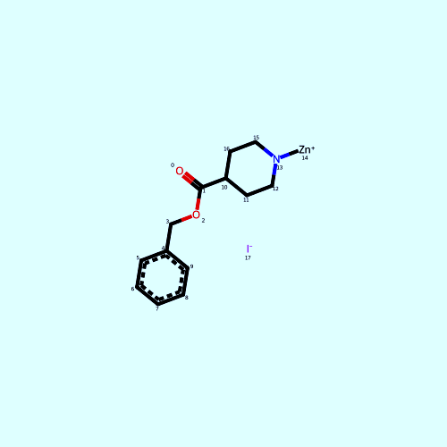 O=C(OCc1ccccc1)C1CC[N]([Zn+])CC1.[I-]